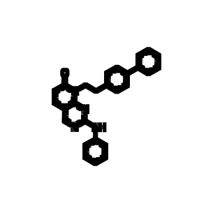 O=c1ccc2cnc(Nc3ccccc3)nc2n1CCc1ccc(-c2ccccc2)cc1